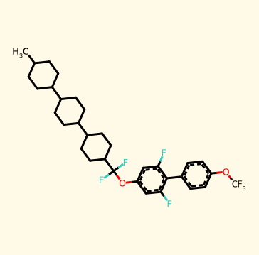 CC1CCC(C2CCC(C3CCC(C(F)(F)Oc4cc(F)c(-c5ccc(OC(F)(F)F)cc5)c(F)c4)CC3)CC2)CC1